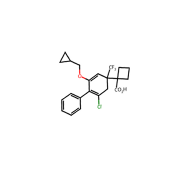 O=C(O)C1(C2(C(F)(F)F)C=C(OCC3CC3)C(c3ccccc3)=C(Cl)C2)CCC1